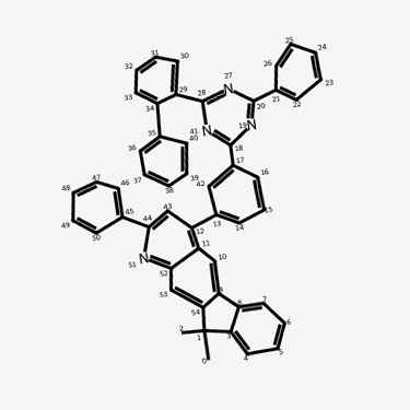 CC1(C)c2ccccc2-c2cc3c(-c4cccc(-c5nc(-c6ccccc6)nc(-c6ccccc6-c6ccccc6)n5)c4)cc(-c4ccccc4)nc3cc21